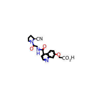 N#C[C@@H]1CCCN1C(=O)CNC(=O)c1ccnc2cc(OCC(=O)O)ccc12